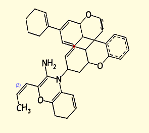 C/C=C\C1=C(N)N(C2C=CC3C(C2)Oc2ccccc2C32C3C=CC=CC3OC3C=C(C4=CCCCC4)C=CC32)C2=C(CCC=C2)O1